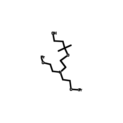 CC(C)OCCN(CCOC(C)C)CCOC(C)(C)CCO